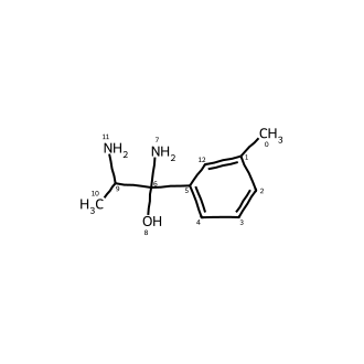 Cc1cccc(C(N)(O)C(C)N)c1